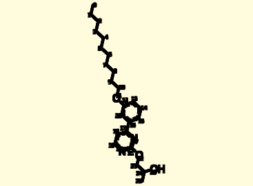 CCCCCCCCCCCOc1cccc(-c2ccnc(OCC(C)O)n2)c1